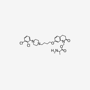 CC(N)C(=O)OCN1C(=O)CCc2ccc(OCCCCN3CCN(c4cccc(Cl)c4Cl)CC3)cc21